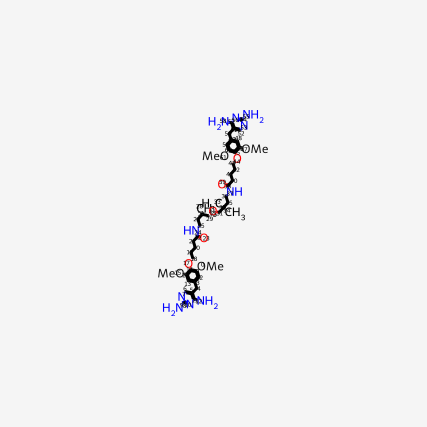 COc1cc(Cc2cnc(N)nc2N)cc(OC)c1OCCCCC(=O)NCCC(C)COCC(C)(C)CCNC(=O)CCCCOc1c(OC)cc(Cc2cnc(N)nc2N)cc1OC